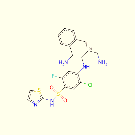 NCc1ccccc1C[C@H](CN)CNc1cc(F)c(S(=O)(=O)Nc2nccs2)cc1Cl